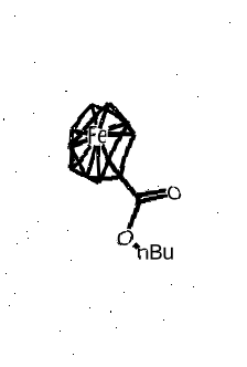 CCCCOC(=O)[C]12[CH]3[CH]4[CH]5[CH]1[Fe]45321678[CH]2[CH]1[CH]6[CH]7[CH]28